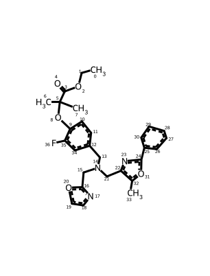 CCOC(=O)C(C)(C)Oc1ccc(CN(Cc2ncco2)Cc2nc(-c3ccccc3)oc2C)cc1F